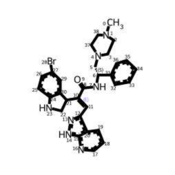 CN1CCN(C[C@@H](NC(=O)/C(=C/c2n[nH]c3ncccc23)C2CNc3ccc(Br)cc32)c2ccccc2)CC1